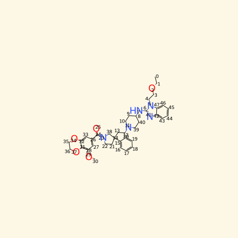 CCOCCn1c(NC2CCN(CCC3(c4ccccc4)CCN(C(=O)c4cc(OC)c5c(c4)OCCO5)C3)CC2)nc2ccccc21